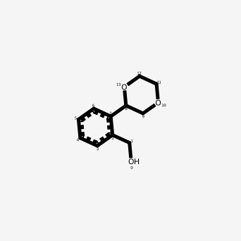 OCc1ccccc1C1COC[CH]O1